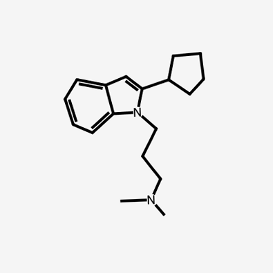 CN(C)CCCn1c(C2CCCC2)cc2ccccc21